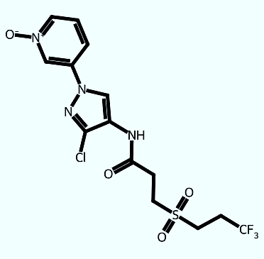 O=C(CCS(=O)(=O)CCC(F)(F)F)Nc1cn(-c2ccc[n+]([O-])c2)nc1Cl